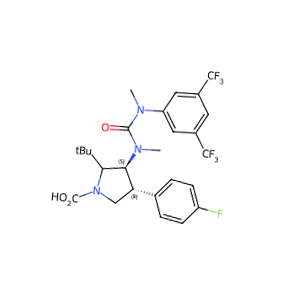 CN(C(=O)N(C)[C@@H]1C(C(C)(C)C)N(C(=O)O)C[C@H]1c1ccc(F)cc1)c1cc(C(F)(F)F)cc(C(F)(F)F)c1